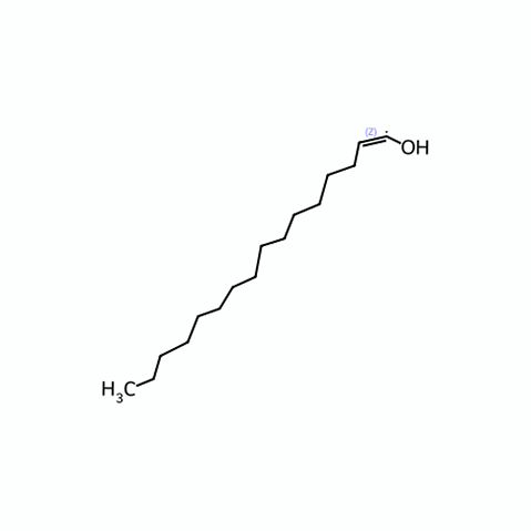 CCCCCCCCCCCCCC/C=[C]\O